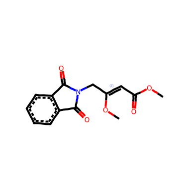 COC(=O)/C=C(/CN1C(=O)c2ccccc2C1=O)OC